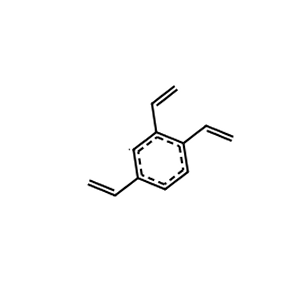 C=Cc1[c]c(C=C)c(C=C)cc1